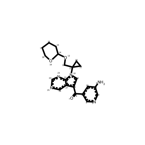 Nc1cncc(C(=O)c2cn(C3(COC4CCCCO4)CC3)c3ncncc23)c1